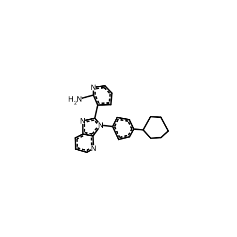 Nc1ncccc1-c1nc2cccnc2n1-c1ccc(C2CCCCC2)cc1